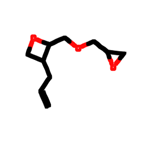 C=CCC1COC1COCC1CO1